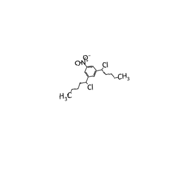 CCCCC(Cl)c1cc(C(Cl)CCCC)cc([N+](=O)[O-])c1